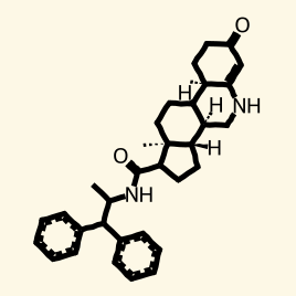 CC(NC(=O)C1CC[C@H]2[C@@H]3CNC4=CC(=O)CC[C@]4(C)[C@@H]3CC[C@]12C)C(c1ccccc1)c1ccccc1